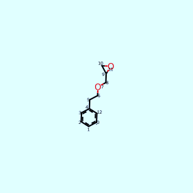 [c]1cccc(CCOCC2CO2)c1